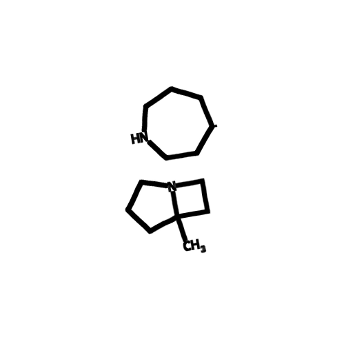 CC12CCCN1CC2.[CH]1CCCNCC1